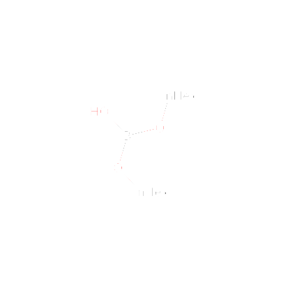 CCCCCCOB(O)OCCCCCC